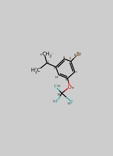 [CH2]C(C)c1cc(Br)cc(OC(F)(F)F)c1